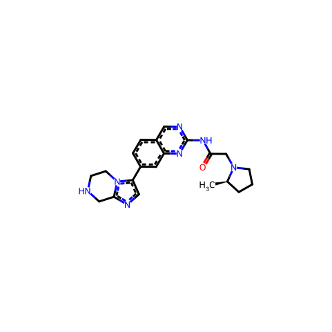 C[C@@H]1CCCN1CC(=O)Nc1ncc2ccc(-c3cnc4n3CCNC4)cc2n1